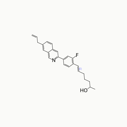 C=CCc1ccc2cc(-c3ccc(/C=C/CCCC(C)O)c(F)c3)ncc2c1